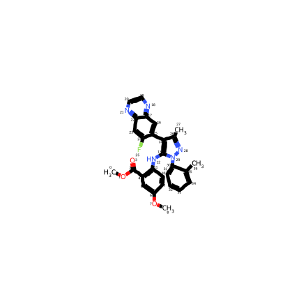 COC(=O)c1cc(OC)ccc1Nc1c(-c2cc3nccnc3cc2F)c(C)nn1-c1ccccc1C